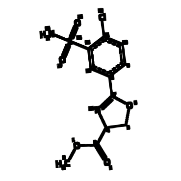 COC(=O)C1COC(c2ccc(Cl)c(S(N)(=O)=O)c2)=N1